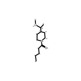 CCCCC(=O)N1CCC(C(C)OC)CC1